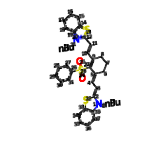 CCCCN1/C(=C/C=C2\CCCC(/C=C/c3sc4ccccc4[n+]3CCCC)=C2S(=O)(=O)c2ccccc2)Sc2ccccc21